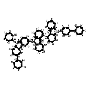 c1ccc(-c2ccc(-n3c4ccccc4c4c(-c5cccc6c5c5ccccc5n6-c5ccc6c(c5)c5cc(-c7ccccc7)ccc5n6-c5ccccc5)cccc43)cc2)cc1